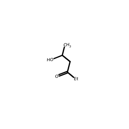 CCC(=O)CC(C)O